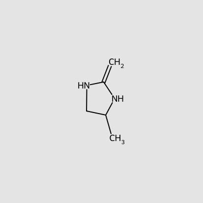 C=C1NCC(C)N1